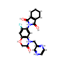 O=C1COc2cc(F)c(N3C(=O)C4=C(CCCC4)C3=O)cc2N1Cc1cnccn1